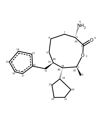 C[C@@H]1OC(=O)[C@@H](N)CCC[C@H](Cc2ccccc2)[C@H]1C1CCCC1